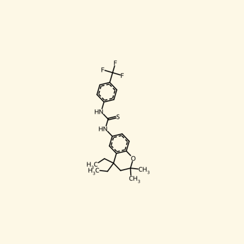 CCC1(CC)CC(C)(C)Oc2ccc(NC(=S)Nc3ccc(C(F)(F)F)cc3)cc21